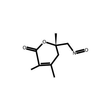 CC1=C(C)C(=O)O[C@](C)(CN=O)C1